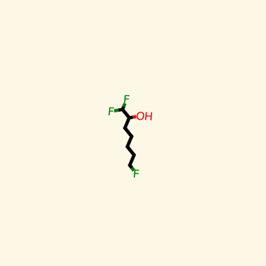 OC(CCCCCF)C(F)F